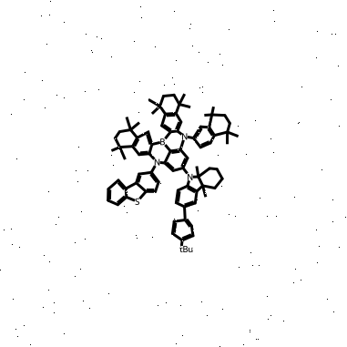 CC(C)(C)c1ccc(-c2ccc3c(c2)C2(C)CCCCC2(C)N3c2cc3c4c(c2)N(c2ccc5sc6ccccc6c5c2)c2cc5c(cc2B4c2cc4c(cc2N3c2ccc3c(c2)C(C)(C)CCC3(C)C)C(C)(C)CCC4(C)C)C(C)(C)CCC5(C)C)cc1